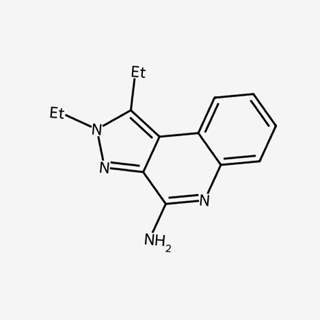 [CH2]Cc1c2c(nn1CC)c(N)nc1ccccc12